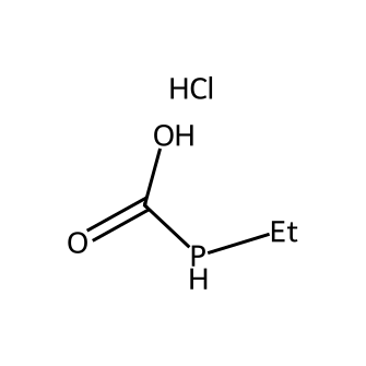 CCPC(=O)O.Cl